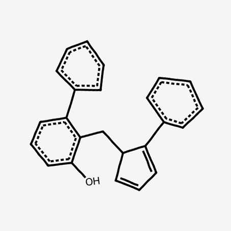 Oc1cccc(-c2ccccc2)c1CC1C=CC=C1c1ccccc1